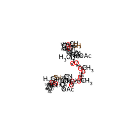 [C-]#[N+]C(C)(CCC(=O)OCCOC(C)OCCOC(C)OCCOC(=O)CCC(C)(C#N)CC(CCC(C)(S)C(=O)OC1(CC)C2CC3CC(C2)CC1C3)c1ccc(OC(C)=O)cc1)CC(CCC(C)(S)C(=O)OC1(CC)C2CC3CC(C2)CC1C3)c1ccc(OC(C)=O)cc1